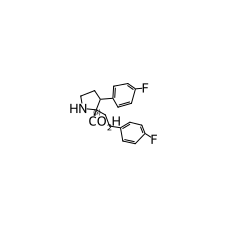 O=C(O)[C@@]1(CCc2ccc(F)cc2)NCCC1c1ccc(F)cc1